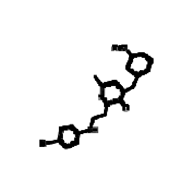 COc1cccc(Cc2cc(C)nn(CCNc3ccc(Br)cc3)c2=O)c1